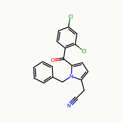 N#CCc1ccc(C(=O)c2ccc(Cl)cc2Cl)n1Cc1ccccc1